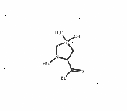 CCC(=O)[C@@H]1CS(C)(C)CN1C(C)(C)C